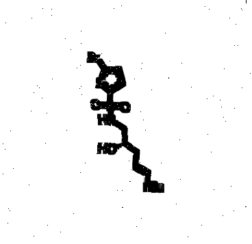 CCCCC=CC[C@H](O)CNS(=O)(=O)c1ccc(Br)s1